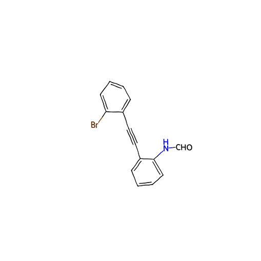 O=CNc1ccccc1C#Cc1ccccc1Br